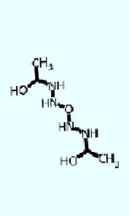 CC(O)NNONNC(C)O